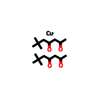 CC(=O)CC(=O)CC(C)(C)C.CC(=O)CC(=O)CC(C)(C)C.[Cu]